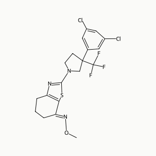 CO/N=C1\CCCc2nc(N3CCC(c4cc(Cl)cc(Cl)c4)(C(F)(F)F)C3)sc21